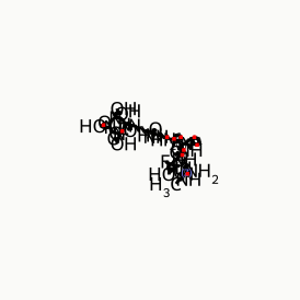 CCNC(=O)/N=C(/N)NCCC[C@@H](NC(=O)[C@H](c1cccc(NCCCNC(=O)[C@H](N)CCCCNC(=O)CN2CCN(CC(=O)O)CCN(CC(=O)O)CCN(CC(=O)O)CC2)c1)N1Cc2ccccc2C1)C(=O)NCc1c(F)cc(O)cc1F